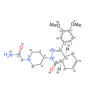 COc1ccc(C2=NN(C3CCN(CC(N)=O)CC3)C(=O)[C@@H]3CC=CC[C@H]23)cc1OC